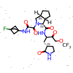 O=C(NC12CC(F)(C1)C2)C(=O)N1C[C@@H]2CCC[C@@H]2[C@H]1C(=O)NC(C[C@@H]1CCNC1=O)C(=O)COC(F)(F)F